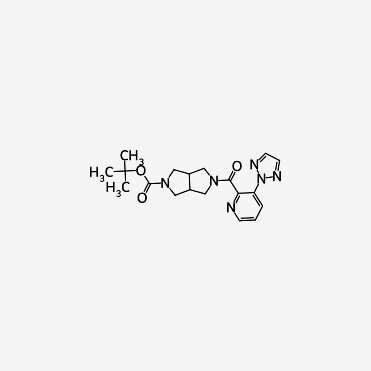 CC(C)(C)OC(=O)N1CC2CN(C(=O)c3ncccc3-n3nccn3)CC2C1